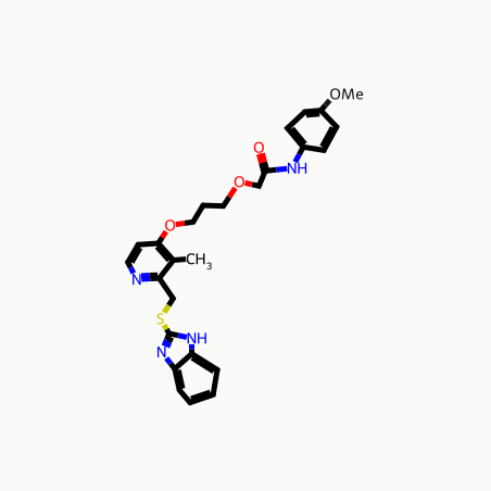 COc1ccc(NC(=O)COCCCOc2ccnc(CSc3nc4ccccc4[nH]3)c2C)cc1